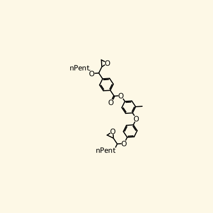 CCCCCOC(c1ccc(C(=O)Oc2ccc(Oc3ccc(OC(CCCCC)C4CO4)cc3)c(C)c2)cc1)C1CO1